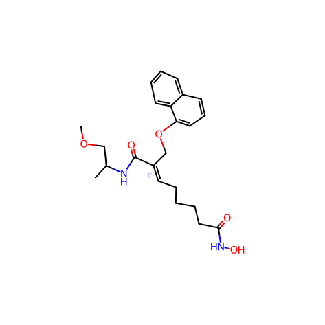 COCC(C)NC(=O)/C(=C/CCCCC(=O)NO)COc1cccc2ccccc12